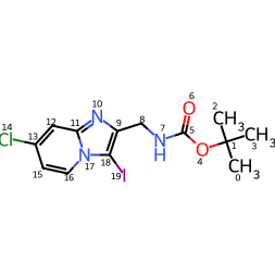 CC(C)(C)OC(=O)NCc1nc2cc(Cl)ccn2c1I